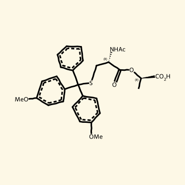 COc1ccc(C(SC[C@H](NC(C)=O)C(=O)O[C@H](C)C(=O)O)(c2ccccc2)c2ccc(OC)cc2)cc1